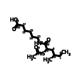 CCC(C)CC(SC(C)=O)C(=O)NCCCCCC(=O)O